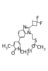 CCOC(C)SCCn1c(C2CC(F)(F)C2)nc2ccc(-c3cc(C)c(=O)n(C)c3)cc21